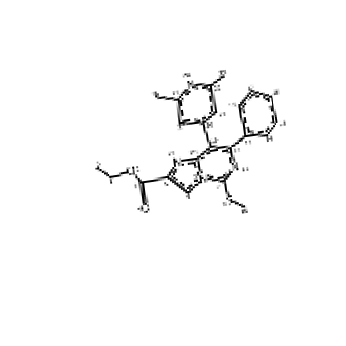 CCOC(=O)c1cn2c(SC)nc(-c3ccccc3)c(-c3cc(C)nc(C)c3)c2n1